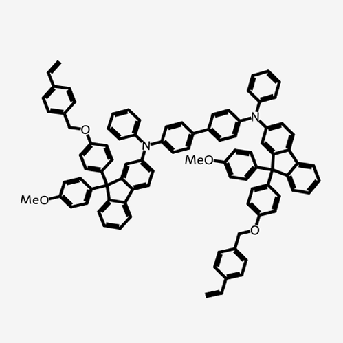 C=Cc1ccc(COc2ccc(C3(c4ccc(OC)cc4)c4ccccc4-c4ccc(N(c5ccccc5)c5ccc(-c6ccc(N(c7ccccc7)c7ccc8c(c7)C(c7ccc(OC)cc7)(c7ccc(OCc9ccc(C=C)cc9)cc7)c7ccccc7-8)cc6)cc5)cc43)cc2)cc1